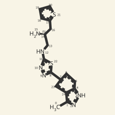 Cc1n[nH]c2ccc(-c3nnc(NC[C@@H](N)Cc4cccs4)s3)cc12